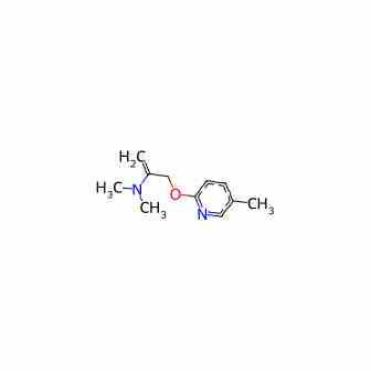 C=C(COc1ccc(C)cn1)N(C)C